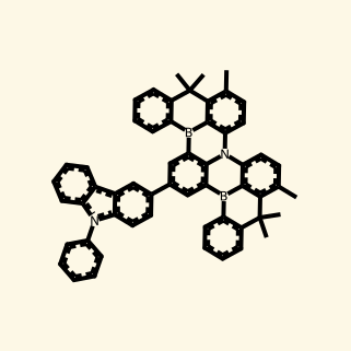 Cc1ccc2c3c1C(C)(C)c1ccccc1B3c1cc(-c3ccc4c(c3)c3ccccc3n4-c3ccccc3)cc3c1N2c1ccc(C)c2c1B3c1ccccc1C2(C)C